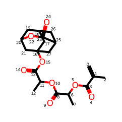 C=C(C)C(=O)OC(C)C(=O)OC(C)C(=O)OC12CC3CC(C1)OC(=O)C(C3)C2